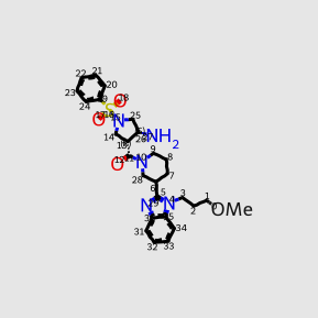 COCCCn1c(C2CCCN(C(=O)[C@@H]3CN(S(=O)(=O)c4ccccc4)C[C@H]3N)C2)nc2ccccc21